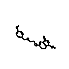 COc1ccc(COCCOc2ccc3c(N)n[nH]c3c2)cc1